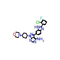 Nc1ncnc2c1c(-c1ccc3nc(-c4cccc(F)c4Cl)[nH]c3c1)nn2[C@H]1CC[C@H](N2CCOCC2)CC1